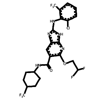 O=C(NC1CCC(C(F)(F)F)CC1)c1cc2nc(Nc3c(Cl)cccc3C(F)(F)F)[nH]c2nc1OCC(F)F